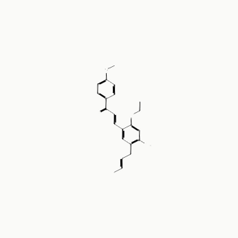 CC=CCc1cc(C=CC(=O)c2ccc(NC)cc2)c(OCC)cc1O